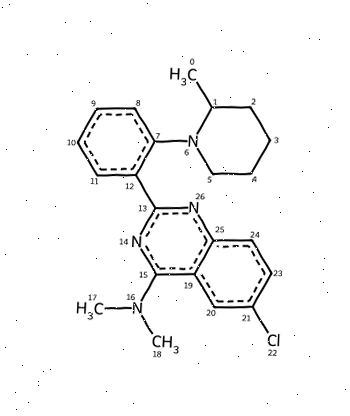 CC1CCCCN1c1ccccc1-c1nc(N(C)C)c2cc(Cl)ccc2n1